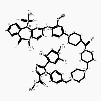 CCOc1cc(N2CCC(C(=O)N3CCC(CN4CCN(Cc5ccc(-n6c(C(=O)NC(C)C)nnc6-c6cc(CC)c(O)cc6O)cc5)CC4)CC3)CC2)ccc1Nc1ncc2c(n1)N(S(C)(=O)=O)c1ccccc1C(=O)N2C